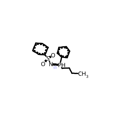 CCCC/[PH](=N/S(=O)(=O)c1ccccc1)c1ccccc1